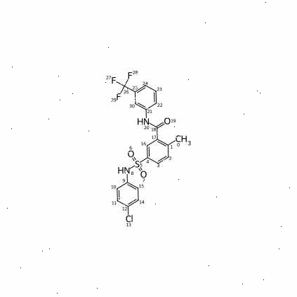 Cc1ccc(S(=O)(=O)Nc2ccc(Cl)cc2)cc1C(=O)Nc1cccc(C(F)(F)F)c1